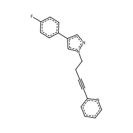 Fc1ccc(-c2cnn(CCC#Cc3ccccn3)c2)cc1